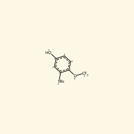 CC(C)(C)c1cc(O)ccc1OC(F)(F)F